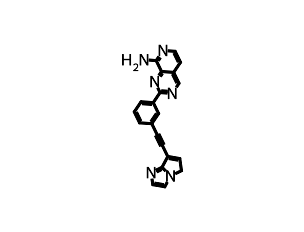 Nc1nccc2cnc(-c3cccc(C#CC4=CCn5ccnc54)c3)nc12